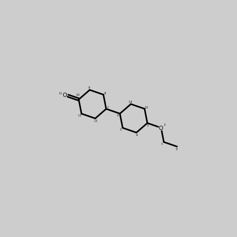 CCOC1CCC(C2CCC(=O)CC2)CC1